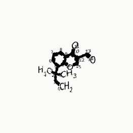 C=CC(C)(C)c1cccc2c(=O)c(C=O)coc12